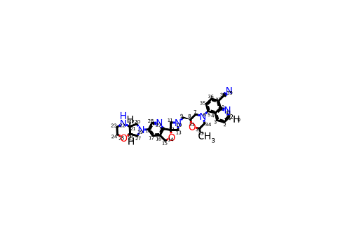 [2H]c1ccc2c(N3C[C@H](CN4CC5(C4)OCc4cc(N6C[C@H]7NCCO[C@@H]7C6)cnc45)O[C@H](C)C3)ccc(C#N)c2n1